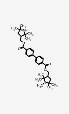 CN1C(C)(C)CC(COC(=O)c2ccc(-c3ccc(C(=O)OCC4CC(C)(C)NC4(C)C)cc3)cc2)C1(C)C